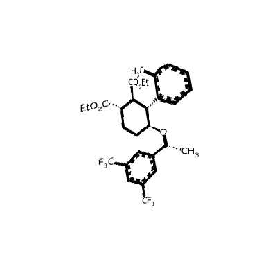 CCOC(=O)[C@H]1[C@H](c2ccccc2C)[C@@H](O[C@H](C)c2cc(C(F)(F)F)cc(C(F)(F)F)c2)CC[C@@H]1C(=O)OCC